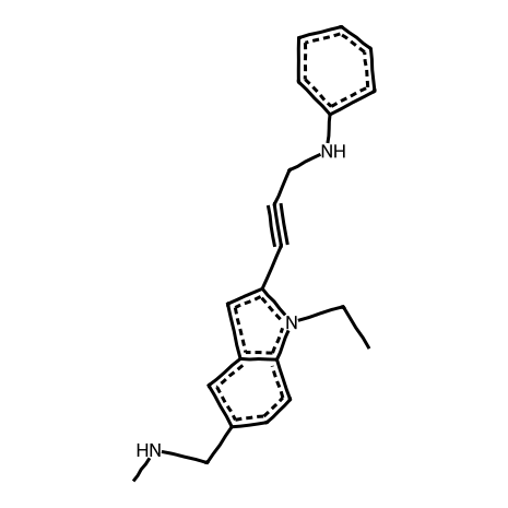 CCn1c(C#CCNc2ccccc2)cc2cc(CNC)ccc21